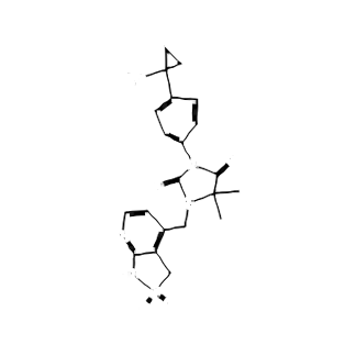 CC1(C)C(=O)N(c2ccc(C3(C(F)(F)F)CC3)cc2)C(=O)N1Cc1ccnc2c1CS(=O)(=O)N2